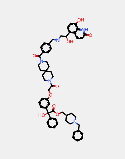 O=C(COc1cccc([C@](O)(C(=O)OCC2CCN(Cc3ccccc3)CC2)c2ccccc2)c1)N1CCC2(CC1)CCN(C(=O)c1ccc(CNC[C@H](O)c3ccc(O)c4[nH]c(=O)ccc34)cc1)CC2